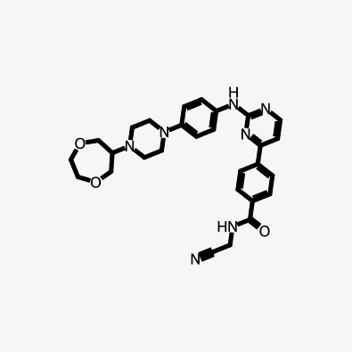 N#CCNC(=O)c1ccc(-c2ccnc(Nc3ccc(N4CCN(C5COCCOC5)CC4)cc3)n2)cc1